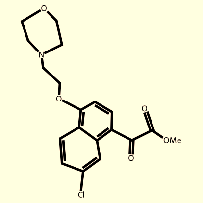 COC(=O)C(=O)c1ccc(OCCN2CCOCC2)c2ccc(Cl)cc12